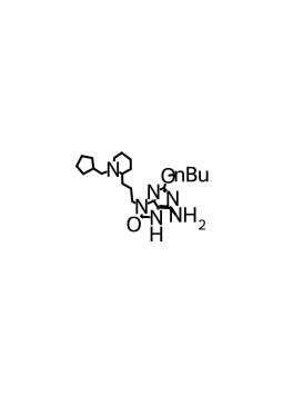 CCCCOc1nc(N)c2[nH]c(=O)n(CCCC3CCCCN3CC3CCCC3)c2n1